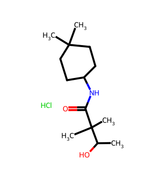 CC(O)C(C)(C)C(=O)NC1CCC(C)(C)CC1.Cl